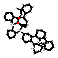 C#Cc1c(/C=C\C)c2ccccc2n1-c1ccccc1N(C1=CC=C(c2ccccc2)CC1)c1ccc(-c2ccccc2)c(-c2cccc3c2oc2ccccc23)c1